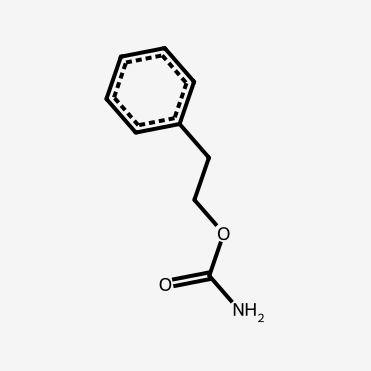 NC(=O)OCCc1ccccc1